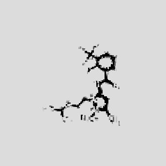 Cc1c/c(=N\C(=O)c2cccc(C(F)(F)F)c2F)n(CCOC(C)C)n1C